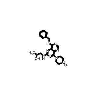 CC(O)CNc1nc(N2CC[S+]([O-])CC2)c2ncnc(SCc3ccccc3)c2n1